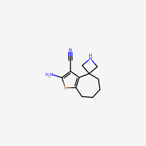 N#Cc1c(N)sc2c1C1(CCCC2)CNC1